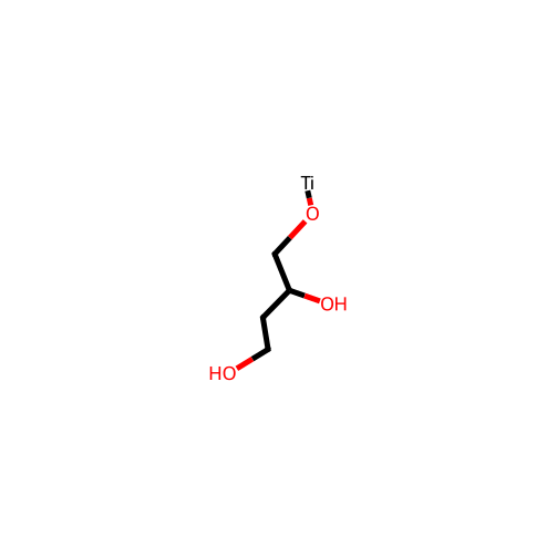 OCCC(O)C[O][Ti]